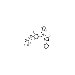 Cc1oc(-c2ccccc2)nc1CN(Cc1cc(F)c(OC(C)(C)C(=O)OC(C)(C)C)c(F)c1)Cc1ncco1